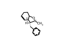 CN1OC2CCC=C[C@@H]2[C@H]1Cc1ccccc1